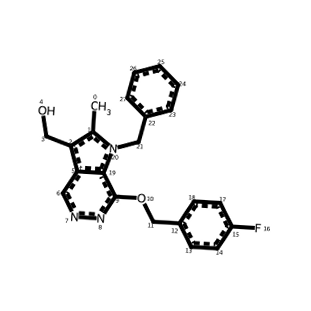 Cc1c(CO)c2cnnc(OCc3ccc(F)cc3)c2n1Cc1ccccc1